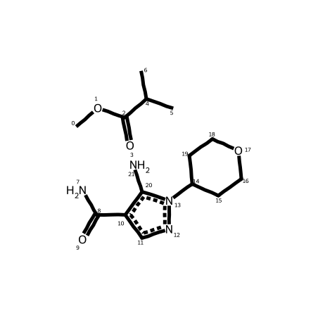 COC(=O)C(C)C.NC(=O)c1cnn(C2CCOCC2)c1N